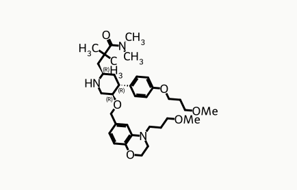 COCCCOc1ccc([C@H]2C[C@H](CC(C)(C)C(=O)N(C)C)NC[C@@H]2OCc2ccc3c(c2)N(CCCOC)CCO3)cc1